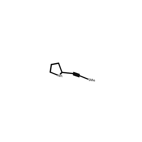 CSC#CC1CCCN1